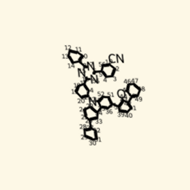 N#Cc1cccc(-c2nc(-c3ccccc3)nc(-c3cccc(-n4c5ccc(-c6ccccc6)cc5c5cc(-c6cccc7c6oc6ccccc67)ccc54)c3)n2)c1